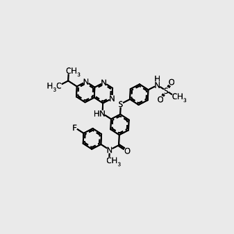 CC(C)c1ccc2c(Nc3cc(C(=O)N(C)c4ccc(F)cc4)ccc3Sc3ccc(NS(C)(=O)=O)cc3)ncnc2n1